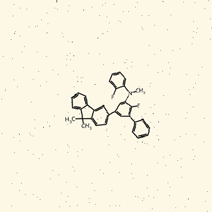 CN(c1ccccc1F)c1cc(-c2ccc3c(c2)-c2ccccc2C3(C)C)cc(-c2ccccc2)c1F